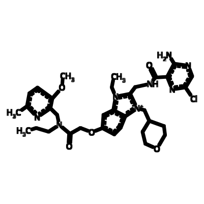 CCCN(Cc1nc(C)ccc1OC)C(=O)COc1ccc2c(c1)n(CC)c(CNC(=O)c1nc(Cl)cnc1N)[n+]2CC1CCOCC1